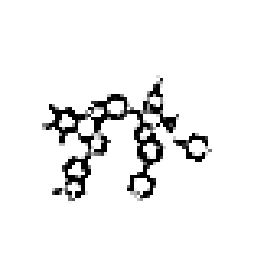 Cc1cc(-n2nc3c(c2-n2ccn(-c4ccc5c(cnn5C)c4)c2=O)CN(C(=O)c2cc4cc(C5CCOCC5)ccc4n2[C@@]2(c4noc(=O)[nH]4)C[C@@H]2CN2CCOCC2)CC3)cc(C)c1F